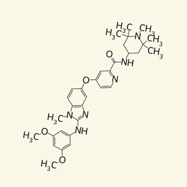 COc1cc(Nc2nc3cc(Oc4ccnc(C(=O)NC5CC(C)(C)N(C)C(C)(C)C5)c4)ccc3n2C)cc(OC)c1